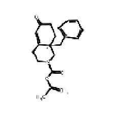 C=C(C)OC(=O)N1CCC2=CC(=O)CC[C@]2(Cc2ccccc2)C1